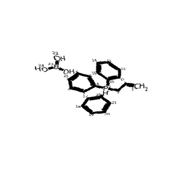 C=CC[PH](c1ccccc1)(c1ccccc1)c1ccccc1.OB(O)O